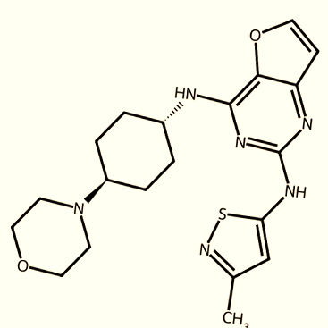 Cc1cc(Nc2nc(N[C@H]3CC[C@H](N4CCOCC4)CC3)c3occc3n2)sn1